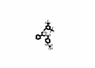 O=C(O)Nc1ccc(C(=O)NCC(COCc2cc(C(F)(F)F)cc(C(F)(F)F)c2)c2ccccc2)cc1